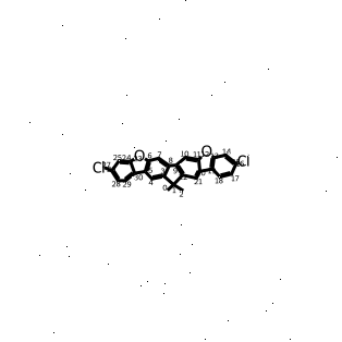 CC1(C)c2cc3c(cc2-c2cc4oc5cc(Cl)ccc5c4cc21)oc1cc(Cl)ccc13